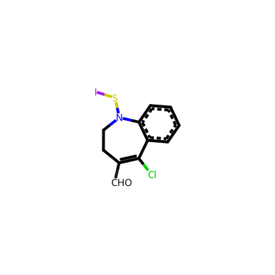 O=CC1=C(Cl)c2ccccc2N(SI)CC1